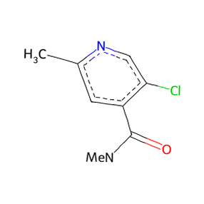 CNC(=O)c1cc(C)ncc1Cl